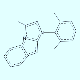 Cc1cccc(C)c1-n1cc(C)n2c3ccccc3cc12